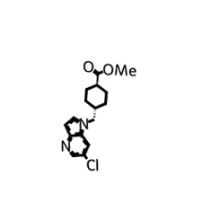 COC(=O)[C@H]1CC[C@H](Cn2ccc3ncc(Cl)cc32)CC1